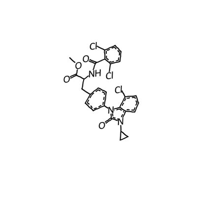 COC(=O)C(Cc1ccc(-n2c(=O)n(C3CC3)c3cccc(Cl)c32)cc1)NC(=O)c1c(Cl)cccc1Cl